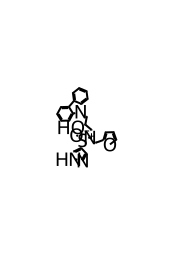 [O-][S+](c1cn[nH]c1)N(Cc1ccco1)CC(O)Cn1c2ccccc2c2ccccc21